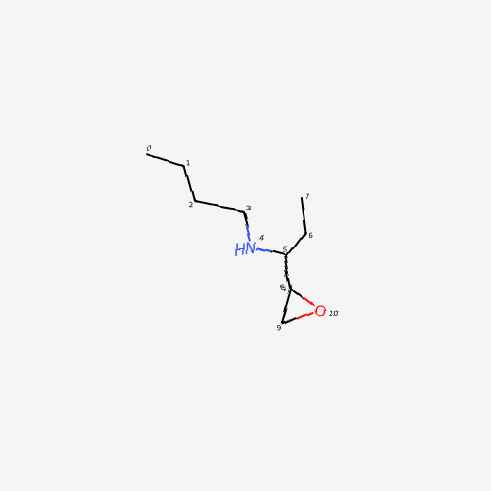 CCCCNC(CC)C1CO1